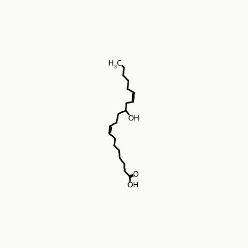 CCCCC/C=C\CC(O)CC/C=C\CCCCCCC(=O)O